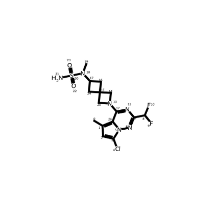 Cc1cc(Cl)n2nc(C(F)F)nc(N3CC4(CC(N(C)S(N)(=O)=O)C4)C3)c12